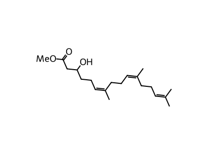 COC(=O)CC(O)CCC=C(C)CCC=C(C)CCC=C(C)C